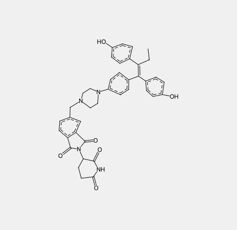 CCC(=C(c1ccc(O)cc1)c1ccc(N2CCN(Cc3ccc4c(c3)C(=O)N(C3CCC(=O)NC3=O)C4=O)CC2)cc1)c1ccc(O)cc1